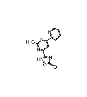 Cc1nc(-c2ccccn2)cc(-c2nc(=O)o[nH]2)n1